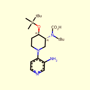 CC(C)(C)N(C(=O)O)[C@@H]1CN(c2ccncc2N)CC[C@H]1O[Si](C)(C)C(C)(C)C